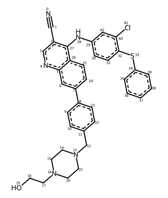 N#Cc1cnc2cc(-c3ccc(CN4CCN(CCO)CC4)cc3)ccc2c1Nc1ccc(Sc2ccccc2)c(Cl)c1